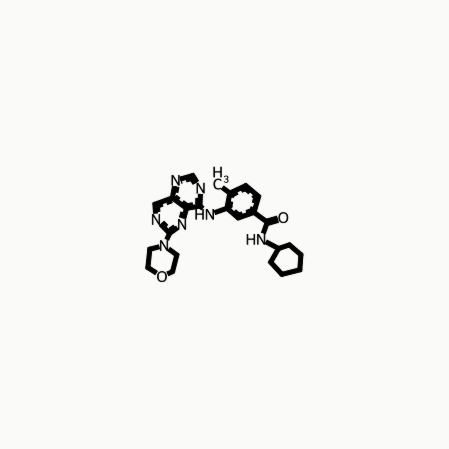 Cc1ccc(C(=O)NC2CCCCC2)cc1Nc1ncnc2cnc(N3CCOCC3)nc12